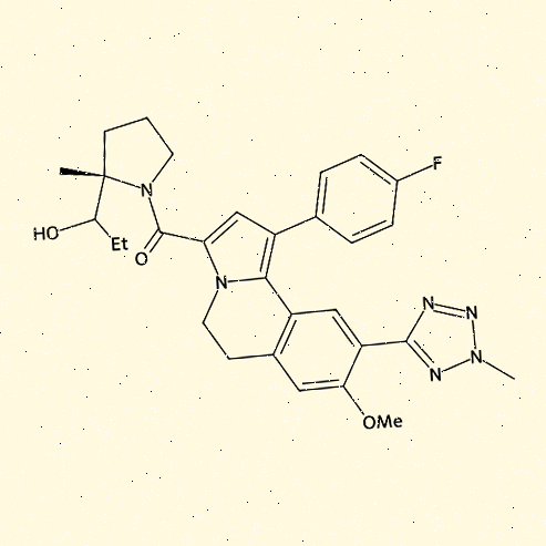 CCC(O)[C@]1(C)CCCN1C(=O)c1cc(-c2ccc(F)cc2)c2n1CCc1cc(OC)c(-c3nnn(C)n3)cc1-2